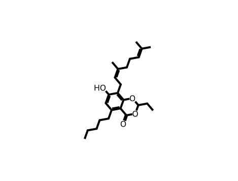 CCCCCc1cc(O)c(CC=C(C)CCC=C(C)C)c2c1C(=O)OC(CC)O2